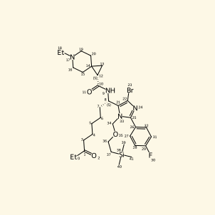 CCC(=O)CCCCC[C@H](NC(=O)[C@H]1CC12CCN(CC)CC2)c1c(Br)nc(-c2ccc(F)cc2)n1COCC[Si](C)(C)C